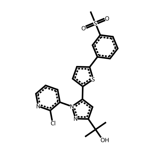 CC(C)(O)c1cc(-c2ccc(-c3cccc(S(C)(=O)=O)c3)s2)n(-c2cccnc2Cl)n1